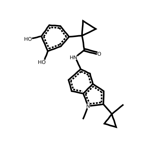 Cn1c(C2(C)CC2)cc2cc(NC(=O)C3(c4ccc(O)c(O)c4)CC3)ccc21